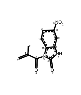 C=C(C)C(=O)n1c(=O)[nH]c2cc([N+](=O)[O-])ccc21